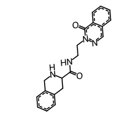 O=C(NCCn1ncc2ccccc2c1=O)C1Cc2ccccc2CN1